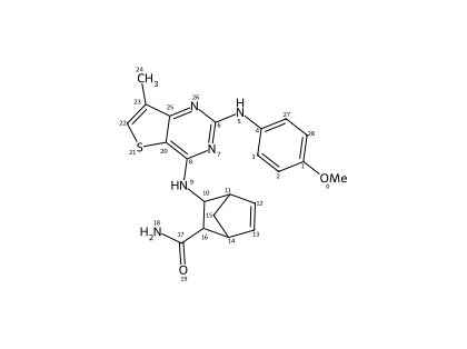 COc1ccc(Nc2nc(NC3C4C=CC(C4)C3C(N)=O)c3scc(C)c3n2)cc1